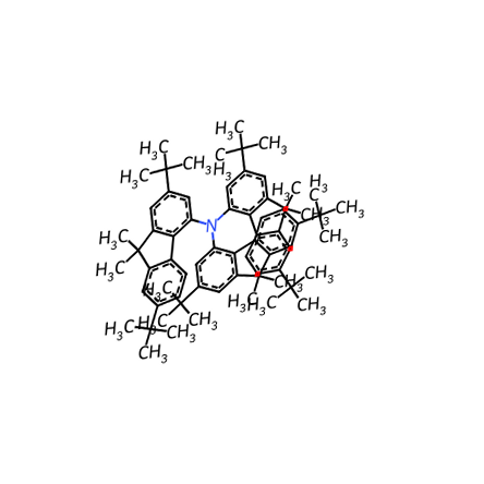 CC(C)(C)c1ccc2c(c1)C(C)(C)c1cc(C(C)(C)C)cc(N(c3cc(C(C)(C)C)cc4c3-c3ccc(C(C)(C)C)cc3C4(C)C)c3cc(C(C)(C)C)cc4c3-c3ccc(C(C)(C)C)cc3C4(C)C)c1-2